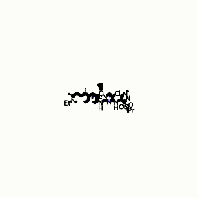 C=C(NC/N=C(Nc1cn(C)nc1S(=O)(=O)C(C)C)\C(Cl)=C/NC)/C(=C\C(=C\C)[C@@H](C)CC[C@H](C)N(C)CC)OC1CC1